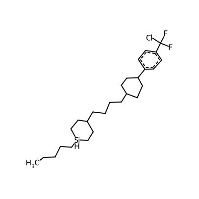 CCCCC[SiH]1CCC(CCCCC2CCC(c3ccc(C(F)(F)Cl)cc3)CC2)CC1